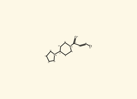 CC/C=C/C(=O)N1CCC(N2CCCC2)CC1